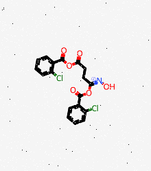 O=C(CC/C(=N/O)OC(=O)c1ccccc1Cl)OC(=O)c1ccccc1Cl